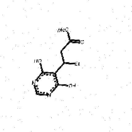 CCC(CC(=O)OC)c1c(O)ncnc1O